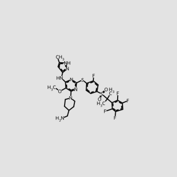 COc1c(Nc2cc(C)[nH]n2)nc(Sc2ccc(S(=O)(=O)C(C)(C)c3c(F)c(F)cc(F)c3F)cc2F)nc1N1CCC(CN)CC1